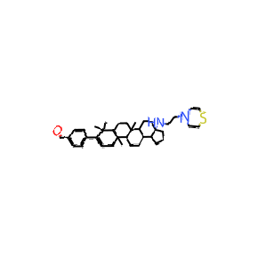 CC1(C)C(c2ccc(C=O)cc2)=CCC2(C)C1CCC1(C)C3CCC4(NCCN5CCSCC5)CCCC4C3CCC12